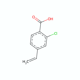 C=Cc1ccc(C(=O)O)c(Cl)c1